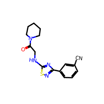 N#Cc1cccc(-c2nsc(NCC(=O)N3CCCCC3)n2)c1